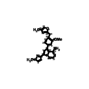 COc1cc(-c2cc(-c3ccn(C)n3)n3ncnc(N)c23)ccc1Cc1nc(C)co1